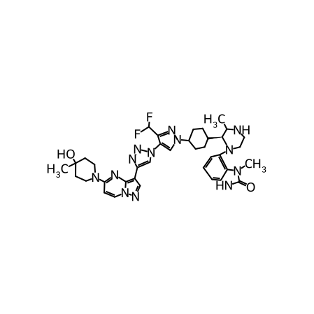 CC1NCCN(c2cccc3[nH]c(=O)n(C)c23)[C@H]1C1CCC(n2cc(-n3cc(-c4cnn5ccc(N6CCC(C)(O)CC6)nc45)nn3)c(C(F)F)n2)CC1